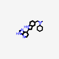 CN(Cc1ccc2[nH]c(-c3ccnc4[nH]cnc34)cc2c1)C1CCCCC1